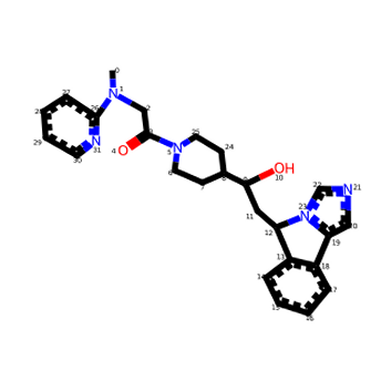 CN(CC(=O)N1CCC(C(O)CC2c3ccccc3-c3cncn32)CC1)c1ccccn1